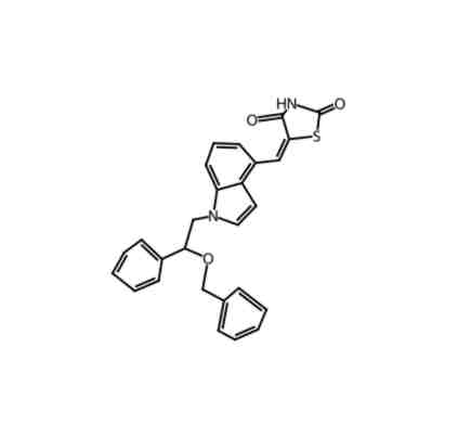 O=C1NC(=O)C(=Cc2cccc3c2ccn3CC(OCc2ccccc2)c2ccccc2)S1